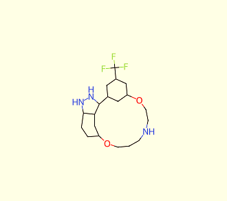 FC(F)(F)C1CC2CC(C1)C1NNC3CCC(CC31)OCCCNCCO2